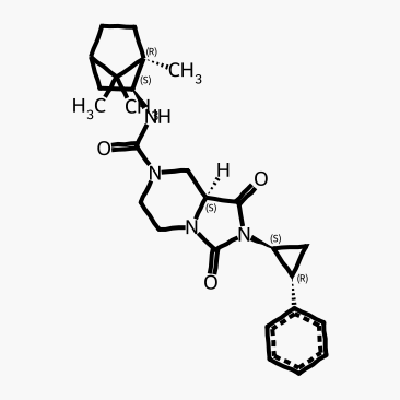 CC1(C)C2CC[C@@]1(C)[C@@H](NC(=O)N1CCN3C(=O)N([C@H]4C[C@@H]4c4ccccc4)C(=O)[C@@H]3C1)C2